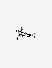 N#CCNc1nc(Cl)c(C#N)c2c1CCN(Cc1cccc(OCC(F)F)c1)C2